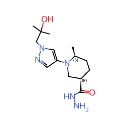 C[C@H]1CC[C@@H](C(=O)NN)CN1c1cnn(CC(C)(C)O)c1